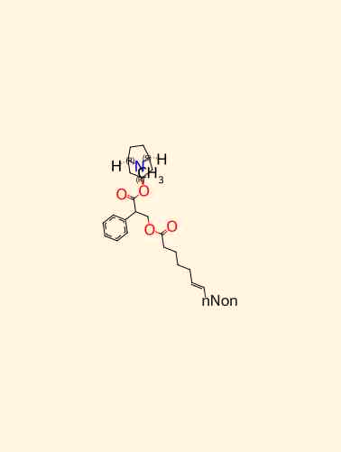 CCCCCCCCCC=CCCCCC(=O)OCC(C(=O)O[C@H]1C[C@H]2CC[C@@H](C1)N2C)c1ccccc1